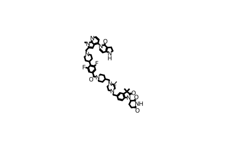 C[C@H]1CN(Cc2ccc3c(c2)C(C)(C)C(=O)N3C2CCC(=O)NC2=O)CCN1CC1CCN(C(=O)c2cc(F)c(C3CCN(Cc4cc5c(-n6ccc7c(c6=O)CCN7)ccnc5n4C)CC3)c(F)c2)CC1